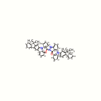 CC1(C)c2ccccc2-c2cc3c4ccccc4n(-c4cccc5c4c(=O)n4c(=O)c6c(-n7c8ccccc8c8cc9c(cc87)C(C)(C)c7ccccc7-9)cccc6n54)c3cc21